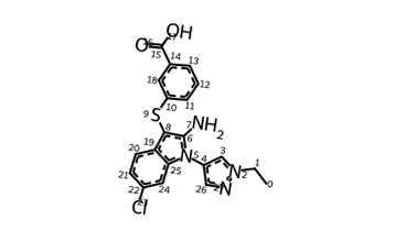 CCn1cc(-n2c(N)c(Sc3cccc(C(=O)O)c3)c3ccc(Cl)cc32)cn1